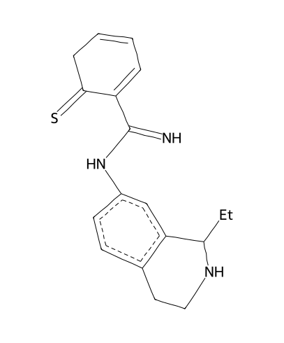 CCC1NCCc2ccc(NC(=N)C3=CC=CCC3=S)cc21